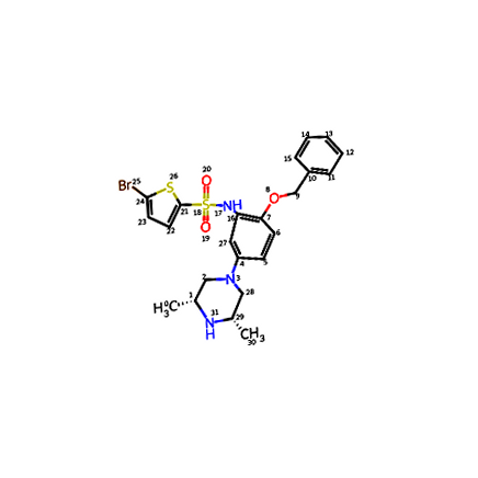 C[C@@H]1CN(c2ccc(OCc3ccccc3)c(NS(=O)(=O)c3ccc(Br)s3)c2)C[C@H](C)N1